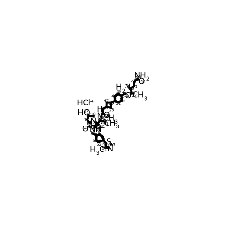 Cc1ncsc1-c1ccc(CNC(=O)[C@@H]2C[C@@H](O)CN2C(=O)[C@@H](NC(=O)CC2CC(c3ccc(CO[C@H](C)[C@@H](N)CCC(N)=O)cc3)C2)C(C)(C)C)cc1.Cl